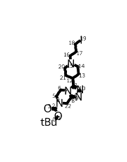 CC(C)(C)OC(=O)N1CCn2c(nnc2C2CCN(CCCI)CC2)C1